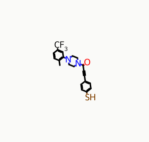 Cc1ccc(C(F)(F)F)cc1N1CCN(C(=O)C#Cc2ccc(S)cc2)CC1